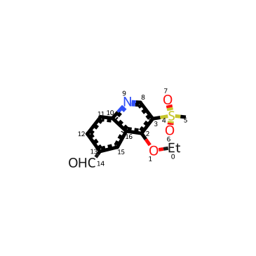 CCOc1c(S(C)(=O)=O)cnc2ccc(C=O)cc12